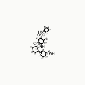 O=S(=O)(Nc1nccs1)c1cc(Cl)c(N[C@H]2CCCC[C@@H]2N2CCC[C@H](CO)C2)cc1F